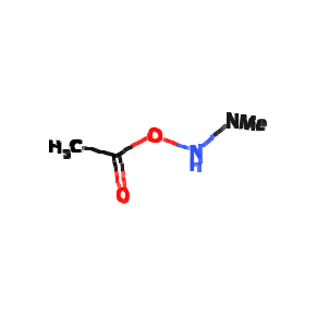 CNNOC(C)=O